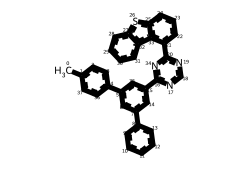 Cc1ccc(-c2cc(-c3ccccc3)cc(-c3ncnc(-c4cccc5sc6ccccc6c45)n3)c2)cc1